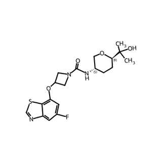 CC(C)(O)[C@H]1CC[C@H](NC(=O)N2CC(Oc3cc(F)cc4ncsc34)C2)CO1